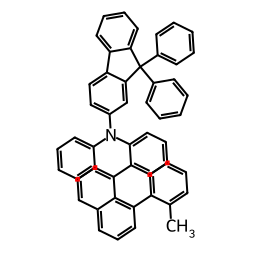 Cc1ccccc1-c1cccc2cccc(-c3ccccc3N(c3ccccc3)c3ccc4c(c3)C(c3ccccc3)(c3ccccc3)c3ccccc3-4)c12